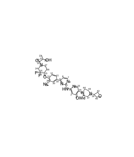 COc1cc(Nc2nccc(-c3ccc(OC4CCN(C(=O)C(C)O)CC4(F)F)c(C#N)c3)n2)ncc1N1CCN(C2COC2)CC1